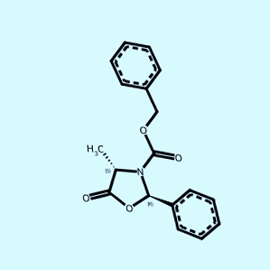 C[C@H]1C(=O)O[C@H](c2ccccc2)N1C(=O)OCc1ccccc1